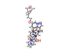 N#Cc1cnn2cc(OCCC3C4COCC34)cc(-c3ccc(N4CC5CC(C4)N5C(=O)[C@@H](O)c4ccccc4)nc3)c12